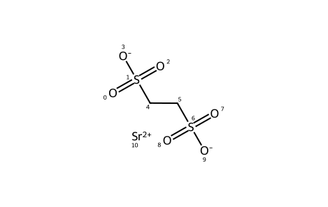 O=S(=O)([O-])CCS(=O)(=O)[O-].[Sr+2]